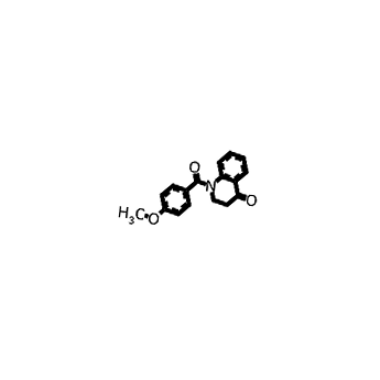 COc1ccc(C(=O)N2CCC(=O)c3ccccc32)cc1